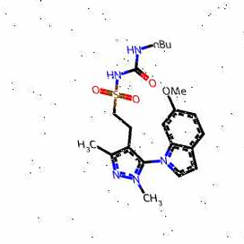 CCCCNC(=O)NS(=O)(=O)CCc1c(C)nn(C)c1-n1ccc2ccc(OC)cc21